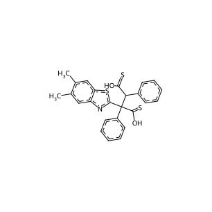 Cc1cc2nc(C(C(O)=S)(c3ccccc3)C(C(O)=S)c3ccccc3)sc2cc1C